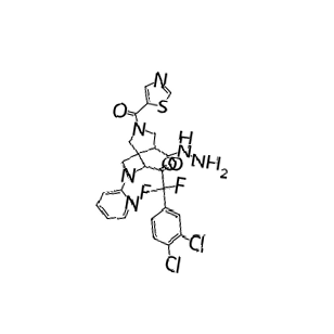 NNC(=O)C1CN(C(=O)c2cncs2)CC12CN(c1ccccn1)C2C(=O)C(F)(F)c1ccc(Cl)c(Cl)c1